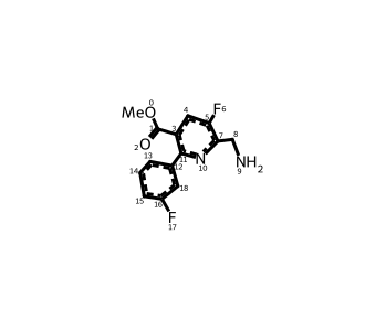 COC(=O)c1cc(F)c(CN)nc1-c1cccc(F)c1